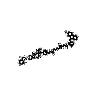 C[C@H](CC(=O)N1CCC(O)(Cn2cnc3c(-c4ccc(CNC(=O)CCCCC(=O)NCCOc5ncccc5C=C5c6ccccc6-c6ccc(F)cc65)cc4)n(C)nc3c2=O)CC1)c1ccccc1